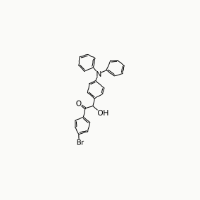 O=C(c1ccc(Br)cc1)C(O)c1ccc(N(c2ccccc2)c2ccccc2)cc1